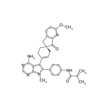 C=C(C)C(=O)Nc1ccc(-c2c(C3=CC[C@@]4(CC3)Cc3ccc(OC)nc3C4=O)c3c(N)ncnc3n2C)cc1